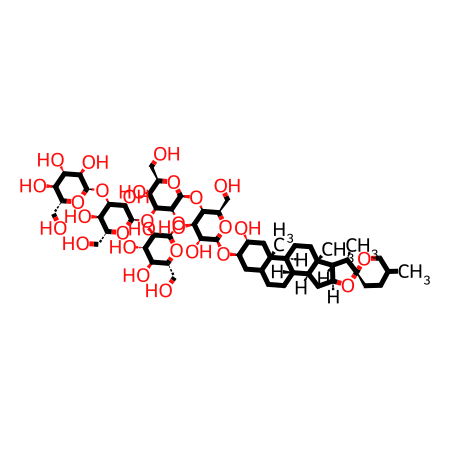 CC1CC[C@@]2(OC1)O[C@H]1C[C@H]3[C@@H]4CCC5C[C@@H](O[C@@H]6O[C@H](CO)[C@@H](O[C@@H]7O[C@H](CO)[C@@H](O)[C@H](O[C@@H]8O[C@H](CO)[C@@H](O)[C@H](O[C@@H]9O[C@H](CO)[C@@H](O)[C@H](O)[C@H]9O)[C@H]8O)[C@H]7O[C@@H]7O[C@H](CO)[C@@H](O)[C@H](O)[C@H]7O)[C@H](O)[C@H]6O)[C@H](O)C[C@]5(C)[C@H]4CC[C@]3(C)[C@H]1[C@@H]2C